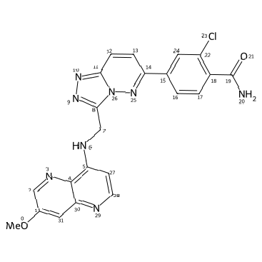 COc1cnc2c(NCc3nnc4ccc(-c5ccc(C(N)=O)c(Cl)c5)nn34)ccnc2c1